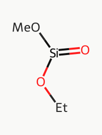 CCO[Si](=O)OC